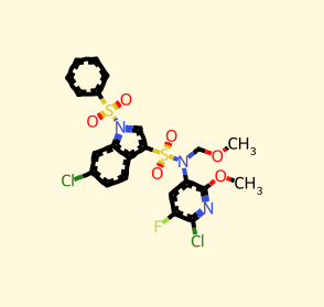 COCN(c1cc(F)c(Cl)nc1OC)S(=O)(=O)c1cn(S(=O)(=O)c2ccccc2)c2cc(Cl)ccc12